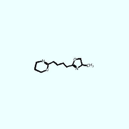 CC1COC(CCCCC2=NCCCO2)=N1